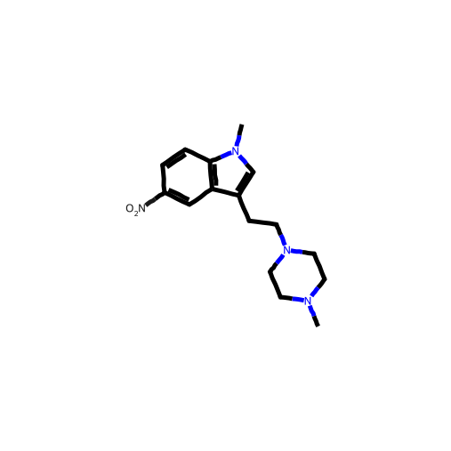 CN1CCN(CCc2cn(C)c3ccc([N+](=O)[O-])cc23)CC1